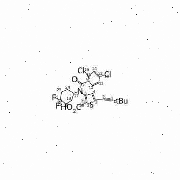 CC(C)(C)C#Cc1cc(N(C(=O)c2ccc(Cl)cc2Cl)C2CCC(F)(F)CC2)c(C(=O)O)s1